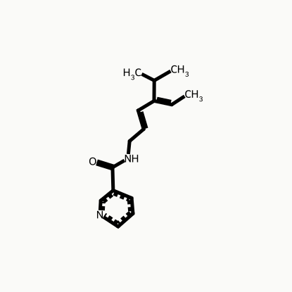 CC=C(C=CCNC(=O)c1cccnc1)C(C)C